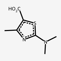 Cc1nc(N(C)C)sc1C(=O)O